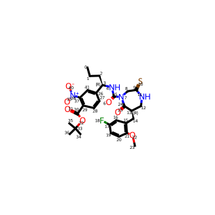 CCC[C@@H](NC(=O)N1CC(=S)NC[C@@H](Cc2cc(F)ccc2OC)C1=O)c1ccc(C(=O)OC(C)(C)C)c([N+](=O)[O-])c1